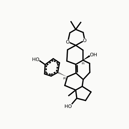 CC1(C)COC2(CCC3=C4C(CC[C@@]3(O)C2)C2CCC(O)C2(C)C[C@@H]4c2ccc(O)cc2)OC1